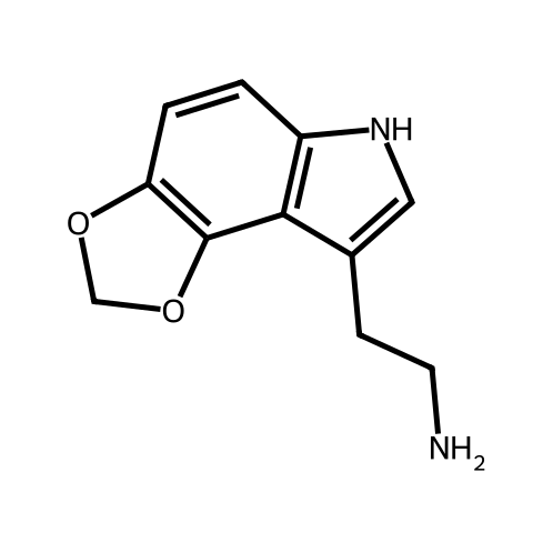 NCCc1c[nH]c2ccc3c(c12)OCO3